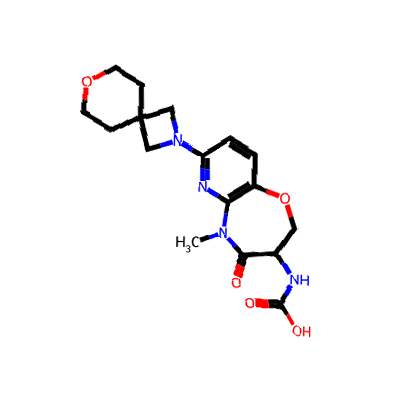 CN1C(=O)C(NC(=O)O)COc2ccc(N3CC4(CCOCC4)C3)nc21